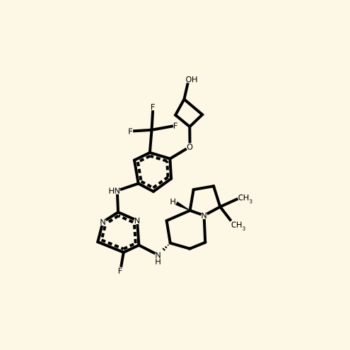 CC1(C)CC[C@H]2C[C@@H](Nc3nc(Nc4ccc(OC5CC(O)C5)c(C(F)(F)F)c4)ncc3F)CCN21